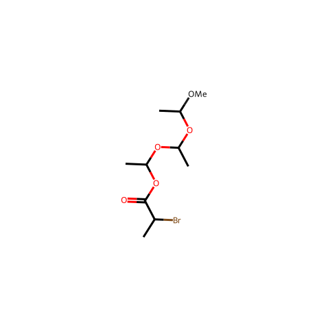 COC(C)OC(C)OC(C)OC(=O)C(C)Br